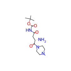 CN1CCN(C(=O)[C@@H](N)CC(=O)NC(=O)OC(C)(C)C)CC1